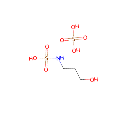 O=S(=O)(O)NCCCO.O=S(=O)(O)O